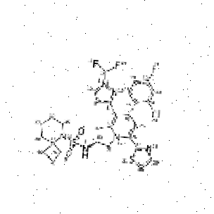 O=S(=O)(N[C@H]1CC2=C(c3ccn(C(F)F)n3)[C@H](c3ccc(F)cc3Cl)N=C(c3nccs3)N2C1)N1CCCCC12CCC2